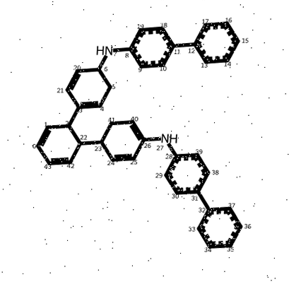 C1=CC(C2=CCC(Nc3ccc(-c4ccccc4)cc3)C=C2)C(C2C=CC(Nc3ccc(-c4ccccc4)cc3)=CC2)C=C1